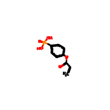 C=CC(=O)Oc1ccc(P(=O)(O)O)cc1